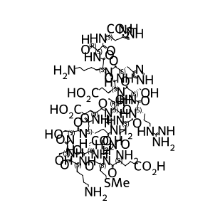 CSCC[C@H](NC(=O)[C@@H](N)CCC(=O)O)C(=O)N[C@@H](CC(=O)O)C(=O)N[C@@H](CCCCN)C(=O)N[C@@H](CO)C(=O)N[C@@H](CO)C(=O)N[C@@H](CCC(N)=O)C(=O)N[C@@H](CCC(=O)O)C(=O)N[C@H](C(=O)N[C@@H](CCC(N)=O)C(=O)N[C@@H](CCCNC(=N)N)C(=O)N[C@@H](CO)C(=O)N[C@@H](CCC(=O)O)C(=O)N[C@@H](Cc1c[nH]cn1)C(=O)N[C@@H](CCCCN)C(=O)N[C@H](C(=O)N[C@@H](Cc1c[nH]cn1)C(=O)O)[C@@H](C)O)[C@@H](C)O